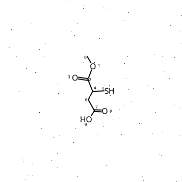 COC(=O)C(S)CC(=O)O